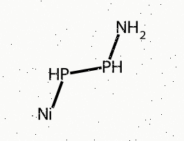 NP[PH][Ni]